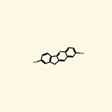 Oc1ccc2c(c1)Cc1cc3cc(O)ccc3nc1-2